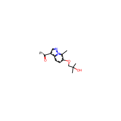 Cc1c(OCC(C)(C)O)ccc2c(C(=O)C(C)C)cnn12